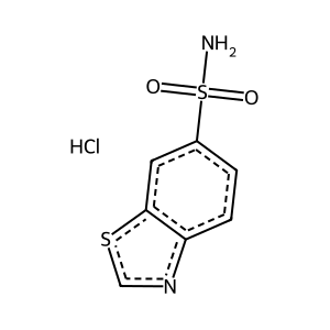 Cl.NS(=O)(=O)c1ccc2ncsc2c1